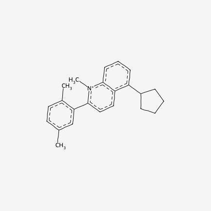 Cc1ccc(C)c(-c2ccc3c(C4CCCC4)cccc3[n+]2C)c1